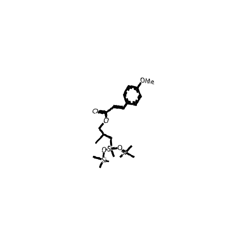 COc1ccc(C=CC(=O)OCC(C)C[Si](C)(O[Si](C)(C)C)O[Si](C)(C)C)cc1